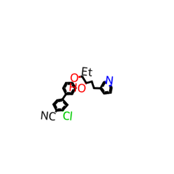 CCC(Oc1ccc(-c2ccc(C#N)c(Cl)c2)cc1)C(O)CCc1cccnc1